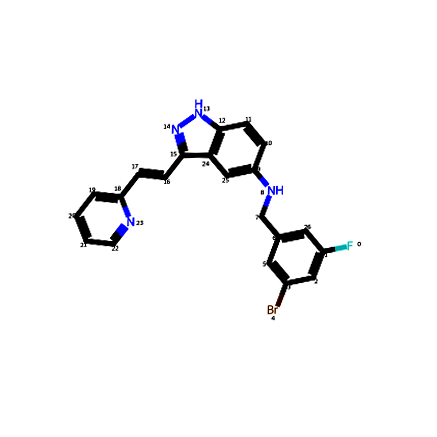 Fc1cc(Br)cc(CNc2ccc3[nH]nc(C=Cc4ccccn4)c3c2)c1